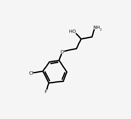 NCC(O)COc1ccc(F)c(Cl)c1